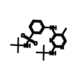 Cc1cnc(NC(C)(C)C)nc1Nc1cccc(S(=O)(=O)NC(C)(C)C)c1